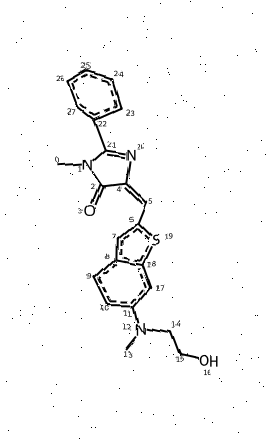 CN1C(=O)/C(=C\c2cc3ccc(N(C)CCO)cc3s2)N=C1c1ccccc1